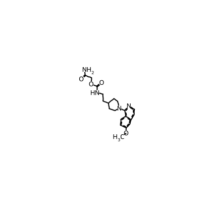 COc1ccc2c(N3CCC(CCNC(=O)OCC(N)=O)CC3)nccc2c1